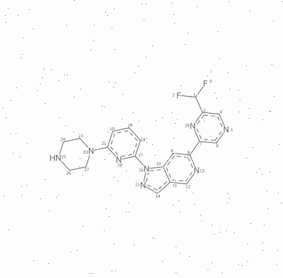 FC(F)c1cncc(-c2cc3c(cn2)cnn3-c2cccc(N3CCNCC3)n2)n1